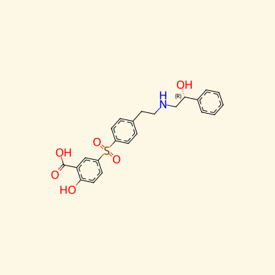 O=C(O)c1cc(S(=O)(=O)c2ccc(CCNC[C@H](O)c3ccccc3)cc2)ccc1O